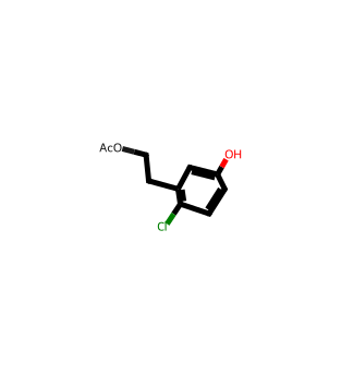 CC(=O)OCCc1cc(O)ccc1Cl